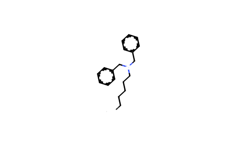 O=C(O)CCCCCN(Cc1ccccc1)Cc1ccccc1